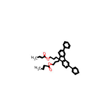 CC=CC(=O)OCCCC1(CCCOC(=O)C=CC)c2ccc(-c3ccccc3)cc2-c2cc(-c3ccccc3)ccc21